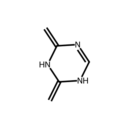 C=C1N=CNC(=C)N1